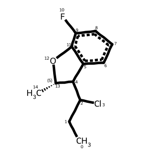 CCC(Cl)C1c2cccc(F)c2O[C@H]1C